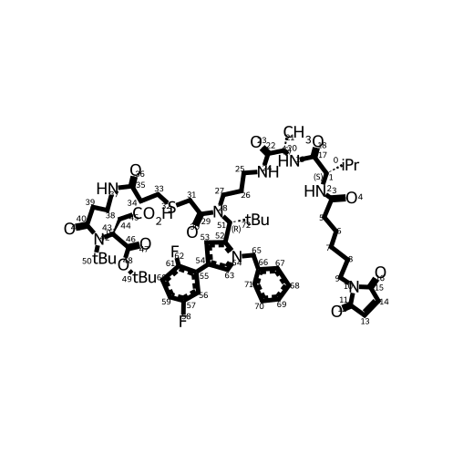 CC(C)[C@H](NC(=O)CCCCCN1C(=O)C=CC1=O)C(=O)N[C@@H](C)C(=O)NCCCN(C(=O)CSCCC(=O)NCCC(=O)N([C@@H](CC(=O)O)C(=O)OC(C)(C)C)C(C)(C)C)[C@@H](c1cc(-c2cc(F)ccc2F)cn1Cc1ccccc1)C(C)(C)C